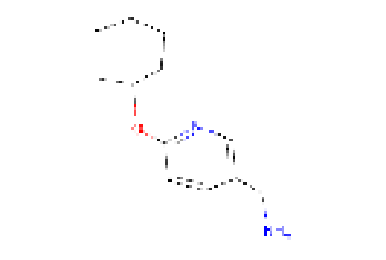 NCc1ccc(OC2CCCCC2)nc1